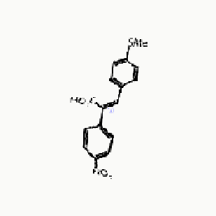 CSc1ccc(/C=C(\C(=O)O)c2ccc([N+](=O)[O-])cc2)cc1